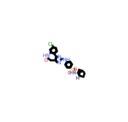 O=C1Cc2cnc(Nc3ccc(S(=O)(=O)N[C@@H]4CC5CC[C@@H]4C5)cc3)nc2-c2ccc(Cl)cc2N1